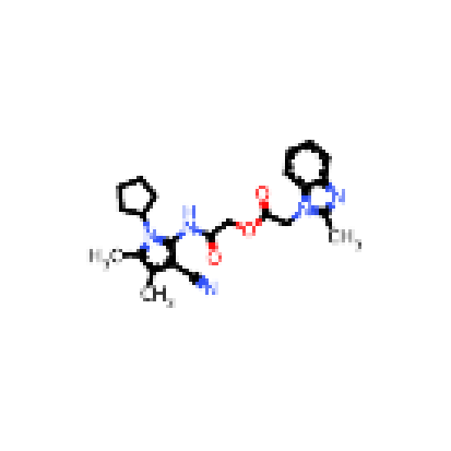 Cc1c(C#N)c(NC(=O)COC(=O)Cn2c(C)nc3ccccc32)n(C2CCCC2)c1C